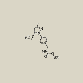 Cc1cc(C(=O)O)n(-c2ccc(CNC(=O)OC(C)(C)C)cc2)n1